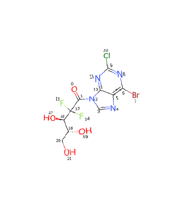 O=C(n1cnc2c(Br)nc(Cl)nc21)C(F)(F)[C@H](O)[C@H](O)CO